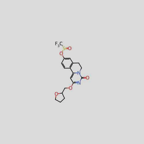 O=c1nc(OCC2CCCO2)cc2n1CCc1cc(OS(=O)C(F)(F)F)ccc1-2